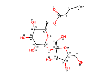 CCCCCCCCCCCCC(=O)OC[C@H]1O[C@H](O[C@]2(CO)O[C@H](CO)[C@@H](O)[C@@H]2O)[C@H](O)[C@@H](O)[C@@H]1O